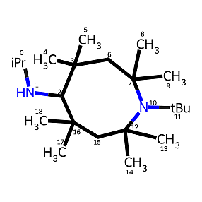 CC(C)NC1C(C)(C)CC(C)(C)N(C(C)(C)C)C(C)(C)CC1(C)C